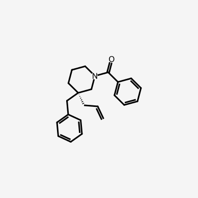 C=CC[C@]1(Cc2ccccc2)CCCN(C(=O)c2ccccc2)C1